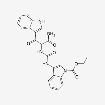 CCOC(=O)n1cc(NC(=O)NC(C(N)=O)C(=O)c2c[nH]c3ccccc23)c2ccccc21